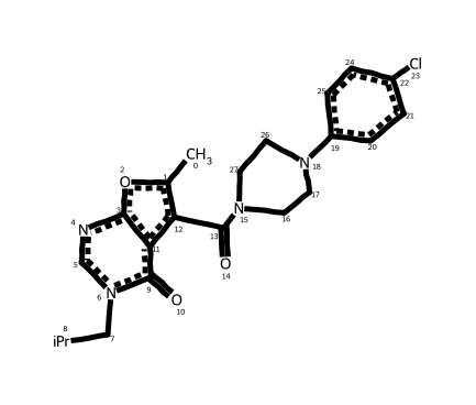 Cc1oc2ncn(CC(C)C)c(=O)c2c1C(=O)N1CCN(c2ccc(Cl)cc2)CC1